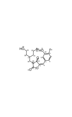 O=C1OC(=Cc2ccc(F)c(O)c2)C(=O)N1CC(CCO)CCBr